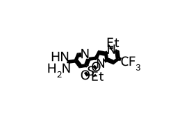 CCn1cc(C(F)(F)F)cc2nc(-c3ncc(C(=N)N)cc3S(=O)(=O)CC)cc1-2